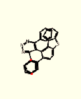 c1ccc(-c2ccc3sc4ccccc4c3c2-c2c(-c3ccccc3)nnnc2-c2ccccc2)cc1